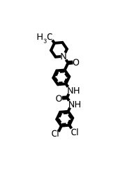 CC1CCN(C(=O)c2cccc(NC(=O)Nc3ccc(Cl)c(Cl)c3)c2)CC1